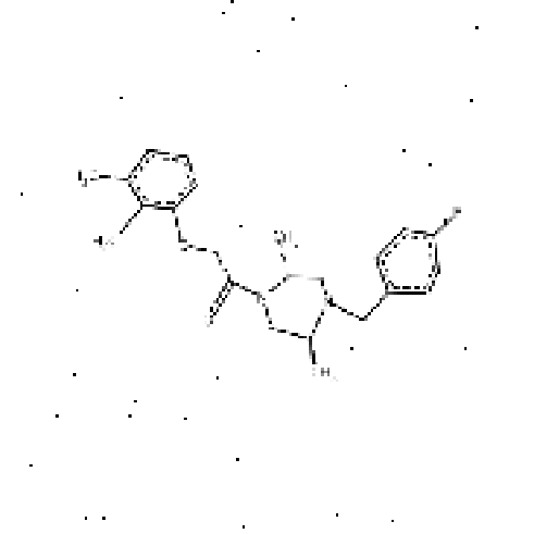 Cc1cccc(OCC(=O)N2C[C@H](C)N(Cc3ccc(F)cc3)C[C@H]2C)c1C